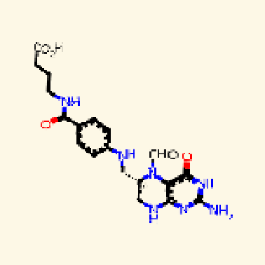 Nc1nc2c(c(=O)[nH]1)N(C=O)[C@@H](CNc1ccc(C(=O)NCCCC(=O)O)cc1)CN2